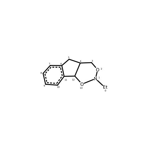 CCN1OCC2Cc3ccccc3C2O1